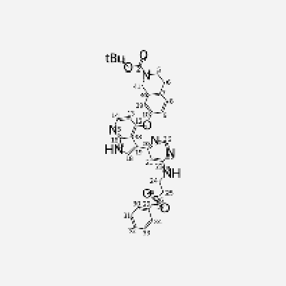 CC(C)(C)OC(=O)N1CCc2ccc(Oc3ccnc4[nH]cc(-c5cc(NCCS(=O)(=O)c6ccccc6)ncn5)c34)cc2C1